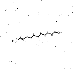 CC=CCCCCCCCCC=O